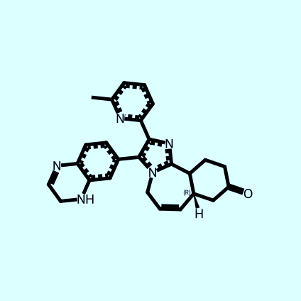 Cc1cccc(-c2nc3n(c2-c2ccc4c(c2)NCC=N4)CC=C[C@H]2CC(=O)CCC32)n1